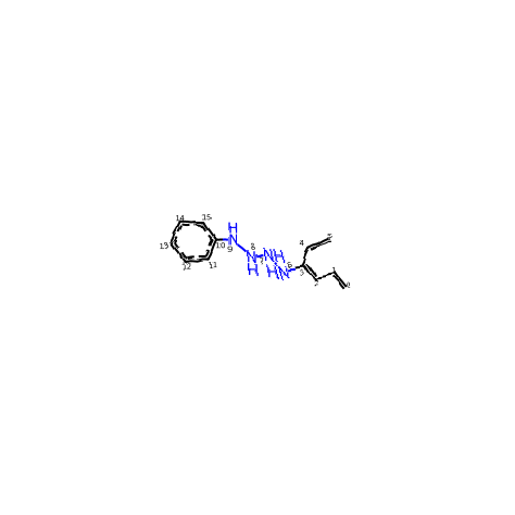 C=C/C=C(\C=C)NNNNc1ccccc1